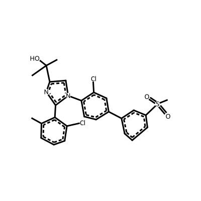 Cc1cccc(Cl)c1-c1nc(C(C)(C)O)cn1-c1ccc(-c2cccc(S(C)(=O)=O)c2)cc1Cl